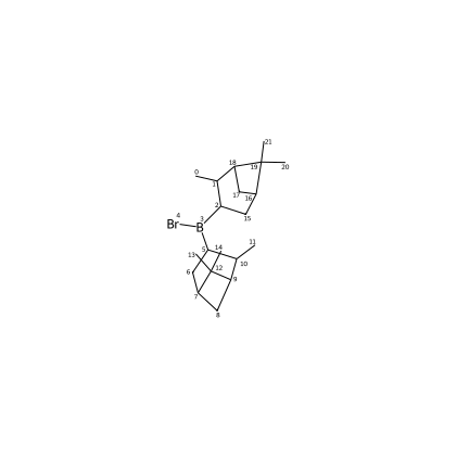 CC1C(B(Br)C2CC3CC(C2C)C3(C)C)CC2CC1C2(C)C